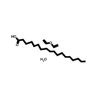 C=COC=C.CCCCCCCCCCCCCCCCCC(=O)O.O